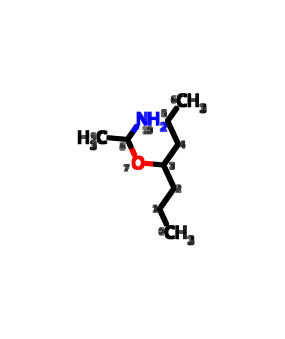 CCCC(CCC)OC(C)N